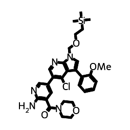 COc1ccccc1-c1cn(COCC[Si](C)(C)C)c2ncc(-c3cnc(N)c(C(=O)N4CCOCC4)c3)c(Cl)c12